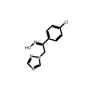 O/N=C(\Cn1cncn1)c1ccc(Cl)cc1